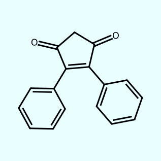 O=C1CC(=O)C(c2ccccc2)=C1c1ccccc1